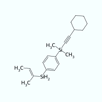 CC=C(C)[SiH2]c1ccc([Si](C)(C)C#CC2CCCCC2)cc1